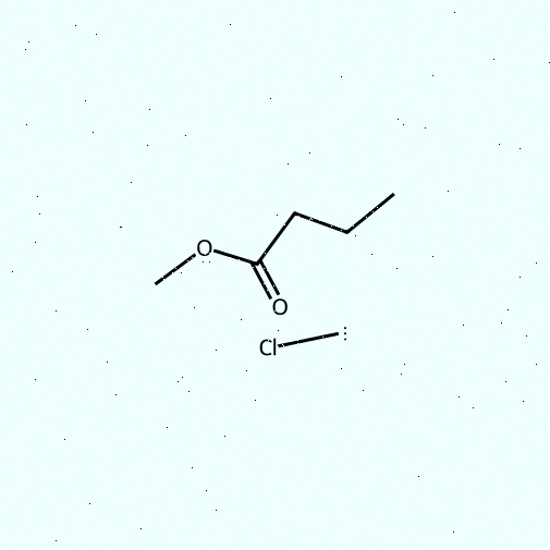 CCCC(=O)OC.[C]Cl